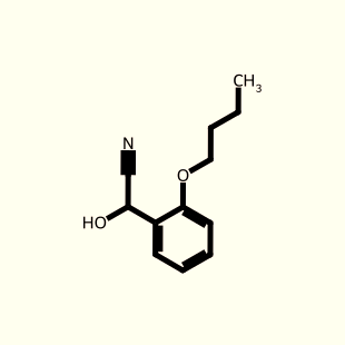 CCCCOc1ccccc1C(O)C#N